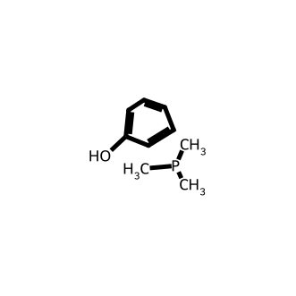 CP(C)C.Oc1ccccc1